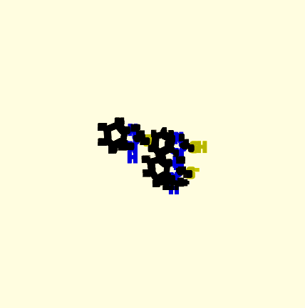 Sc1nc2ccccc2[nH]1.[S-]c1nc2ccccc2[nH]1.[S-]c1nc2ccccc2[nH]1.[Zn+2]